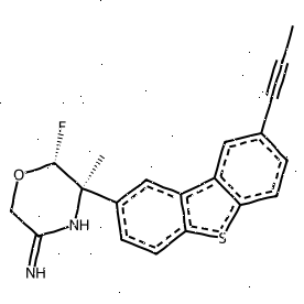 CC#Cc1ccc2sc3ccc([C@@]4(C)NC(=N)CO[C@@H]4F)cc3c2c1